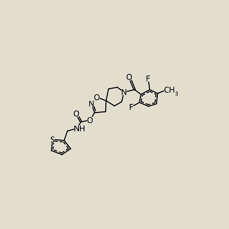 Cc1ccc(F)c(C(=O)N2CCC3(CC2)CC(OC(=O)NCc2cccs2)=NO3)c1F